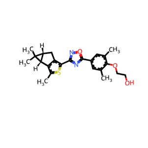 Cc1cc(-c2nc(-c3sc(C)c4c3C[C@@H]3[C@H]4C3(C)C)no2)cc(C)c1OCCO